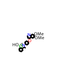 COc1cc2nccc(Oc3ccc(N(C(=O)O)C(C)c4ccccc4Cl)cc3)c2cc1OC